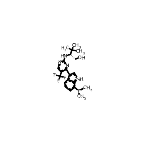 CP(C)c1cccc2c(-c3nc(N[C@@H](CO)C(C)(C)C)ncc3C(F)(F)F)c[nH]c12